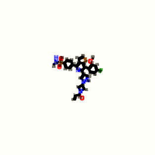 C=CC(=O)N1CC(n2cc(-c3nc(-c4ccc(S(=O)(=O)NC)cc4)c4ccsc4c3-c3ccc(F)cc3OC)cn2)C1